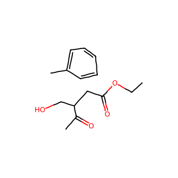 CCOC(=O)CC(CO)C(C)=O.Cc1ccccc1